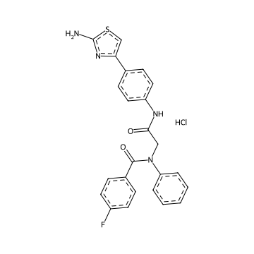 Cl.Nc1nc(-c2ccc(NC(=O)CN(C(=O)c3ccc(F)cc3)c3ccccc3)cc2)cs1